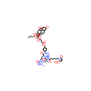 CCCC1O[C@@H]2CC3[C@@H]4CCC5=CC(=O)C=C[C@]5(C)[C@H]4[C@@H](O)C[C@]3(C)[C@]2(C(=O)COC(=O)CCC(=O)OCc2ccc(NC(=O)[C@H](CCCNC(N)=O)NC(=O)[C@@H](NC(=O)CCCCCN3C(=O)C=CC3O)C(C)C)cc2)O1